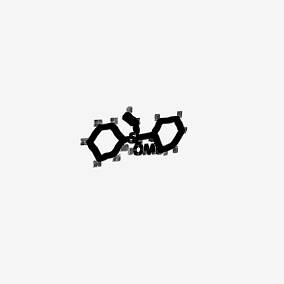 C=C[Si](OC)(C1CCCCC1)C1CCCCC1